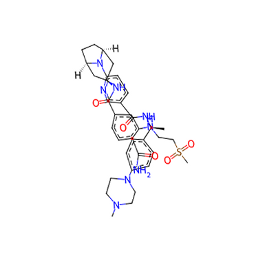 C[C@H](NC(=O)c1ccc(N2[C@@H]3CC[C@H]2C[C@@H](NC(=O)c2ccc(C(N)=O)c(NCCS(C)(=O)=O)c2)C3)nc1)c1ccc(N2CCN(C)CC2)cc1